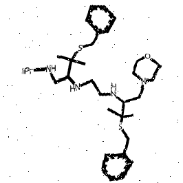 CC(C)NCC(NCCNC(CN1CCOCC1)C(C)(C)SCc1ccccc1)C(C)(C)SCc1ccccc1